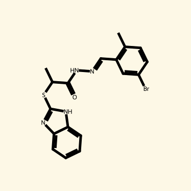 Cc1ccc(Br)cc1/C=N/NC(=O)C(C)Sc1nc2ccccc2[nH]1